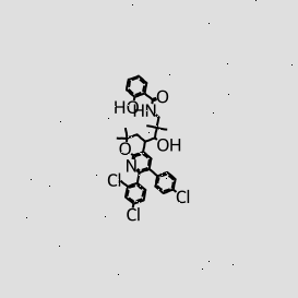 CC1(C)CC(C(O)C(C)(C)CNC(=O)c2ccccc2O)c2cc(-c3ccc(Cl)cc3)c(-c3ccc(Cl)cc3Cl)nc2O1